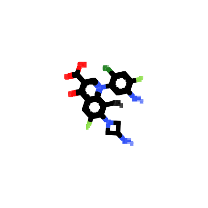 Cc1c(N2CC(N)C2)c(F)cc2c(=O)c(C(=O)O)cn(-c3cc(N)c(F)cc3Cl)c12